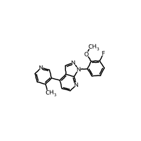 COc1c(F)cccc1-n1ncc2c(-c3cnccc3C)ccnc21